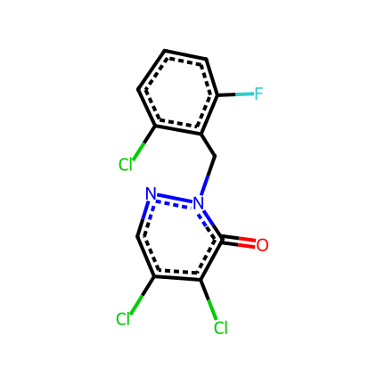 O=c1c(Cl)c(Cl)cnn1Cc1c(F)cccc1Cl